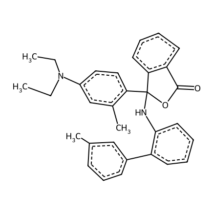 CCN(CC)c1ccc(C2(Nc3ccccc3-c3cccc(C)c3)OC(=O)c3ccccc32)c(C)c1